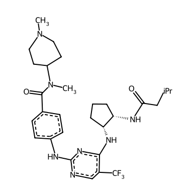 CC(C)CC(=O)N[C@H]1CCC[C@H]1Nc1nc(Nc2ccc(C(=O)N(C)C3CCN(C)CC3)cc2)ncc1C(F)(F)F